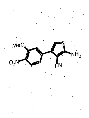 COc1cc(-c2csc(N)c2C#N)ccc1[N+](=O)[O-]